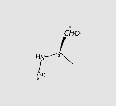 CC(=O)N[C@H](C)[C]=O